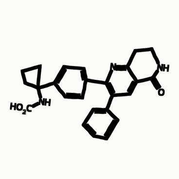 O=C(O)NC1(c2ccc(-c3nc4c(cc3-c3ccccc3)C(=O)NCC4)cc2)CCC1